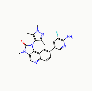 Cc1nn(C)c(C)c1-n1c(=O)n(C)c2cnc3ccc(-c4cnc(N)c(F)c4)cc3c21